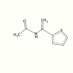 C=C(NC(C)=O)c1cccs1